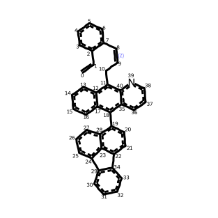 C=Cc1ccccc1/C=C\Cc1c2ccccc2c(-c2ccc3c4c(cccc24)-c2ccccc2-3)c2cccnc12